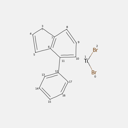 [Br][Ti][Br].[CH]1C=Cc2c1cccc2-c1ccccc1